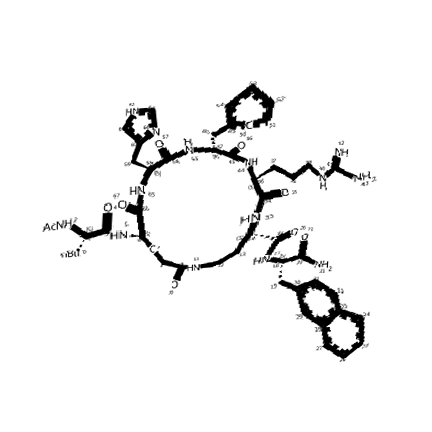 CCCC[C@H](NC(C)=O)C(=O)N[C@H]1CCC(=O)NCC[C@@H](C(=O)N[C@@H](Cc2ccc3ccccc3c2)C(N)=O)NC(=O)[C@H](CCCNC(=N)N)NC(=O)[C@@H](Cc2ccccc2)NC(=O)[C@H](Cc2c[nH]cn2)NC1=O